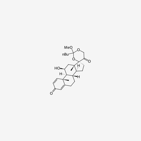 CCCCC1(OC)OCC(=O)[C@]2(CC[C@H]3[C@@H]4CCC5=CC(=O)C=C[C@]5(C)[C@H]4[C@@H](O)C[C@@]32C)O1